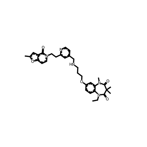 CCN1C(=O)C(C)(C)C(=O)N(C)c2cc(OCCCNCc3ccnc(CCn4ccc5oc(C)cc5c4=O)c3)ccc21